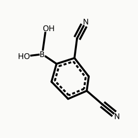 N#Cc1ccc(B(O)O)c(C#N)c1